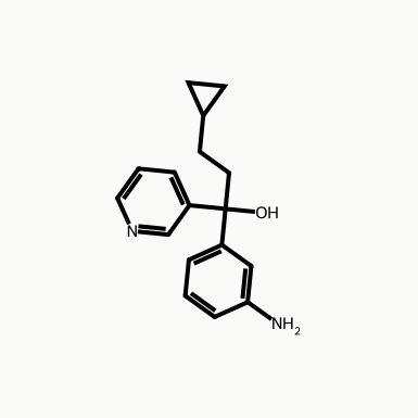 Nc1cccc(C(O)(CCC2CC2)c2cccnc2)c1